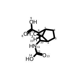 C[C@H]1C2CCC1C(C(=O)O)C2NC(=O)O